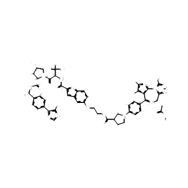 COC(=O)C[C@@H]1N=C(c2ccc(N3CCC(C(=O)NCCOc4ccc5oc(C(=O)NC(C(=O)N6C[C@H](O)C[C@H]6C(=O)N[C@@H](C)c6ccc(-c7scnc7C)cc6)C(C)(C)C)cc5c4)C3)cc2)c2c(sc(C)c2C)-n2c(C)nnc21